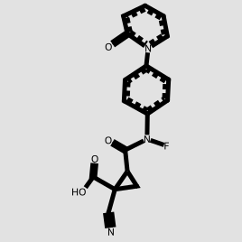 N#CC1(C(=O)O)CC1C(=O)N(F)c1ccc(-n2ccccc2=O)cc1